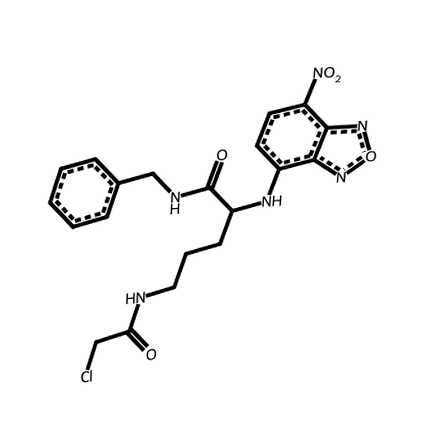 O=C(CCl)NCCCC(Nc1ccc([N+](=O)[O-])c2nonc12)C(=O)NCc1ccccc1